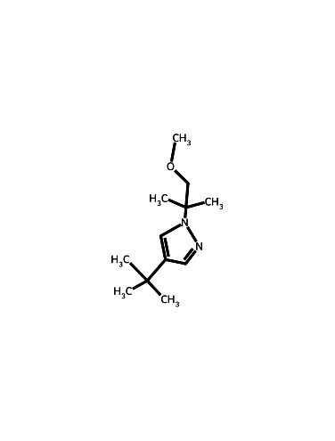 COCC(C)(C)n1cc(C(C)(C)C)cn1